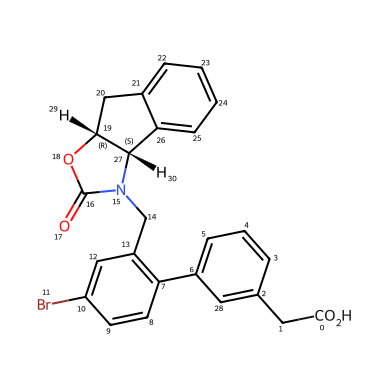 O=C(O)Cc1cccc(-c2ccc(Br)cc2CN2C(=O)O[C@@H]3Cc4ccccc4[C@@H]32)c1